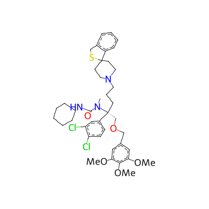 COc1cc(COC[C@](CCCN2CCC3(CC2)SCc2ccccc23)(c2ccc(Cl)c(Cl)c2)N(C)C(=O)NC2CCCCC2)cc(OC)c1OC